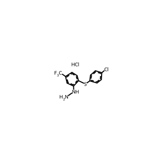 Cl.NNc1cc(C(F)(F)F)ccc1Sc1ccc(Cl)cc1